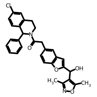 Cc1noc(C)c1C(O)c1cc2cc(CC(=O)N3CCc4cc(Cl)ccc4C3c3ccccc3)ccc2o1